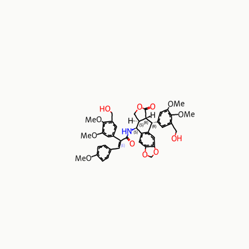 COc1ccc(/C=C(/C(=O)N[C@@H]2c3cc4c(cc3[C@@H](c3cc(CO)c(OC)c(OC)c3)[C@H]3C(=O)OC[C@@H]32)OCO4)c2cc(CO)c(OC)c(OC)c2)cc1